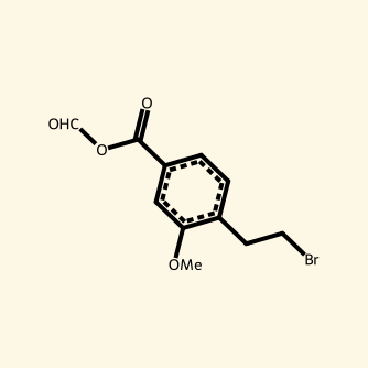 COc1cc(C(=O)OC=O)ccc1CCBr